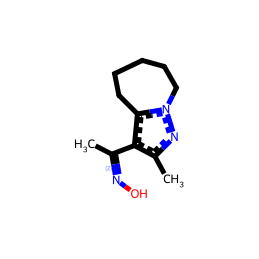 C/C(=N/O)c1c(C)nn2c1CCCCC2